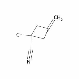 C=C1CC(Cl)(C#N)C1